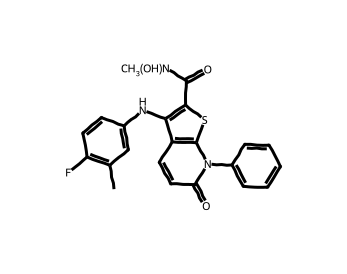 Cc1cc(Nc2c(C(=O)N(C)O)sc3c2ccc(=O)n3-c2ccccc2)ccc1F